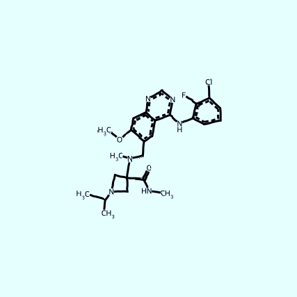 CNC(=O)C1(N(C)Cc2cc3c(Nc4cccc(Cl)c4F)ncnc3cc2OC)CN(C(C)C)C1